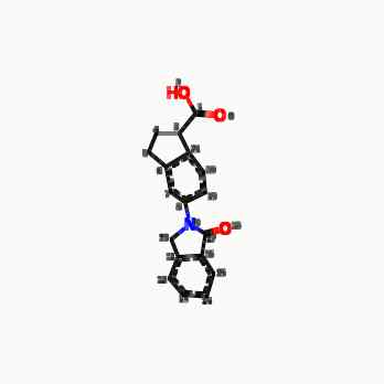 O=C(O)C1CCc2cc(N3Cc4ccccc4C3=O)ccc21